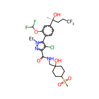 CCn1nc(C(=O)NCC2(O)CCC(S(C)(=O)=O)CC2)c(Cl)c1-c1ccc([C@@](C)(O)CCC(F)(F)F)cc1OC(F)F